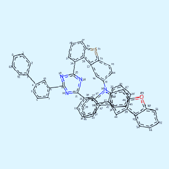 c1ccc(-c2cccc(-c3nc(-c4cccc(-c5ccccc5)c4)nc(-c4cccc5sc6ccc(-n7c8ccccc8c8cc9c(cc87)oc7ccccc79)cc6c45)n3)c2)cc1